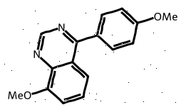 COc1ccc(-c2ncnc3c(OC)cccc23)cc1